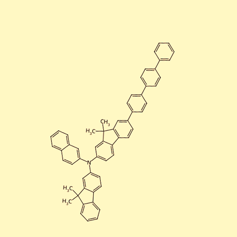 CC1(C)c2ccccc2-c2ccc(N(c3ccc4c(c3)C(C)(C)c3cc(-c5ccc(-c6ccc(-c7ccccc7)cc6)cc5)ccc3-4)c3ccc4ccccc4c3)cc21